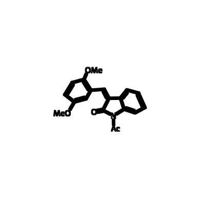 COc1ccc(OC)c(C=C2C(=O)N(C(C)=O)c3ccccc32)c1